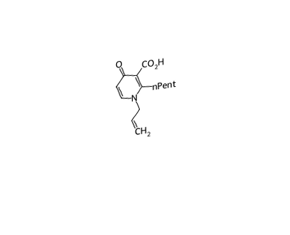 C=CCn1ccc(=O)c(C(=O)O)c1CCCCC